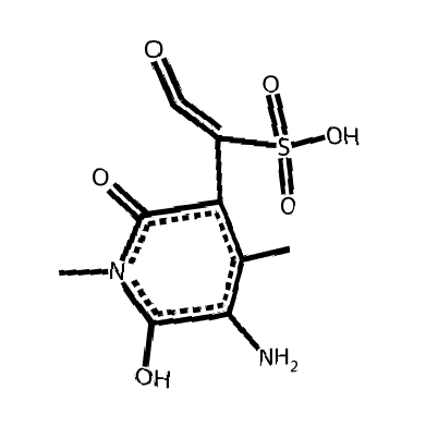 Cc1c(N)c(O)n(C)c(=O)c1C(=C=O)S(=O)(=O)O